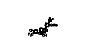 COc1cc(-c2nnc3n2CCCC3(Oc2ccc(Cl)c(C(F)(F)F)c2)C(C)(C)O)ccc1-n1cnc(C)c1